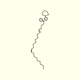 CCCCCCCC/C=C\CCCCCCCCCCCC(=O)OC1CCCCC1